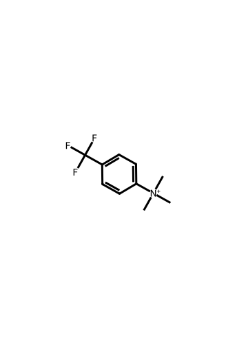 C[N+](C)(C)c1ccc(C(F)(F)F)cc1